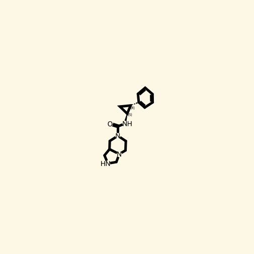 O=C(N[C@H]1C[C@@H]1c1ccccc1)N1CCN2CNCC2C1